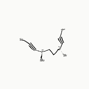 CC(C)(C)C#C[P@@](CC[P@](C#CC(C)(C)C)C(C)(C)C)C(C)(C)C